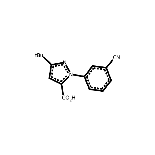 CC(C)(C)c1cc(C(=O)O)n(-c2cccc(C#N)c2)n1